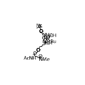 CNC(=O)CC[C@H](NC(C)=O)[C@@H](C)OCc1ccc(CCCCC(=O)N[C@H](C(=O)N2C[C@H](O)C[C@H]2C(=O)NCc2ccc(-c3scnc3C)cc2)C(C)(C)C)cc1